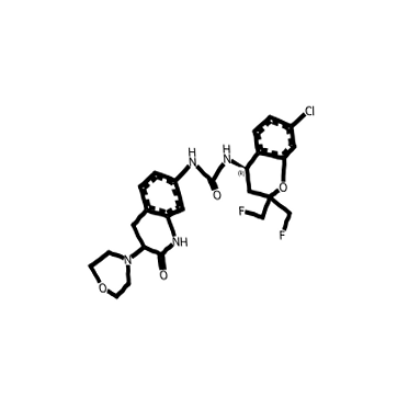 O=C(Nc1ccc2c(c1)NC(=O)C(N1CCOCC1)C2)N[C@@H]1CC(CF)(CF)Oc2cc(Cl)ccc21